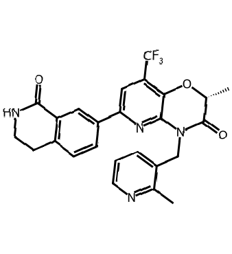 Cc1ncccc1CN1C(=O)[C@@H](C)Oc2c(C(F)(F)F)cc(-c3ccc4c(c3)C(=O)NCC4)nc21